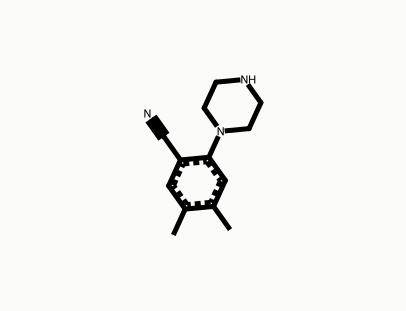 Cc1cc(C#N)c(N2CCNCC2)cc1C